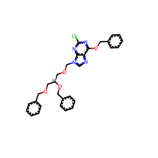 Clc1nc(OCc2ccccc2)c2ncn(COC[C@H](COCc3ccccc3)OCc3ccccc3)c2n1